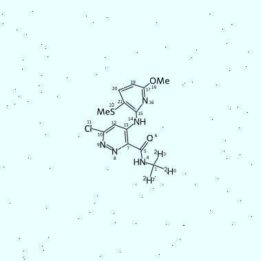 [2H]C([2H])([2H])NC(=O)c1nnc(Cl)cc1Nc1nc(OC)ccc1SC